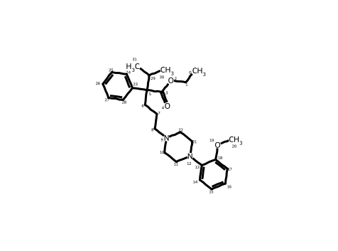 CCOC(=O)C(CCCN1CCN(c2ccccc2OC)CC1)(c1ccccc1)C(C)C